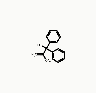 C=C(OC(C)=O)C(O)(c1ccccc1)c1ccccc1